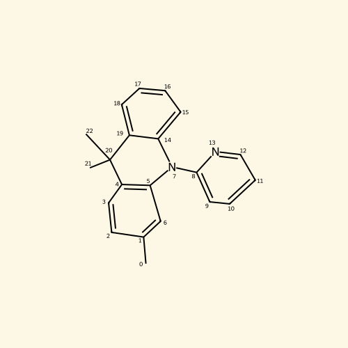 Cc1ccc2c(c1)N(c1ccccn1)c1ccccc1C2(C)C